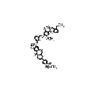 CCc1ccccc1CN1CC=Nc2cc(OCc3cccc(COc4cc5c(cc4OC)C(=O)N4CC=C(c6ccc(S(=O)(=O)NC)cc6)CC4C=N5)n3)c(OC)cc2C1=O